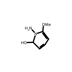 COC1=CC=CC(O)N1N